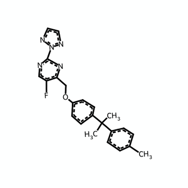 Cc1ccc(C(C)(C)c2ccc(OCc3nc(-n4nccn4)ncc3F)cc2)cc1